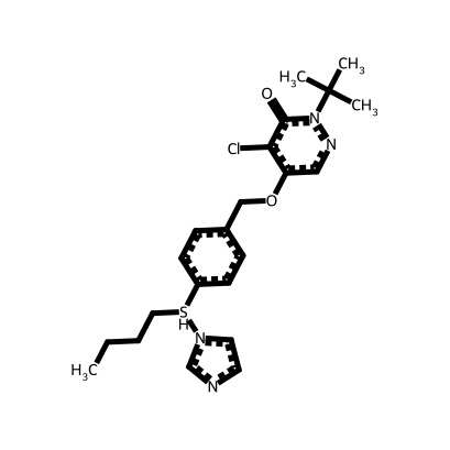 CCCC[SH](c1ccc(COc2cnn(C(C)(C)C)c(=O)c2Cl)cc1)n1ccnc1